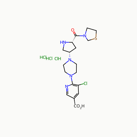 Cl.Cl.Cl.O=C(O)c1cnc(N2CCN([C@@H]3CN[C@H](C(=O)N4CCSC4)C3)CC2)c(Cl)c1